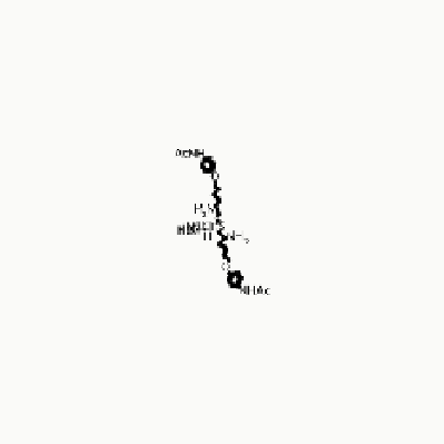 CC(=O)Nc1ccc(OCCCCC(N)CSSCC(N)CCCCOc2ccc(NC(C)=O)cc2)cc1.Cl.Cl.Cl.Cl